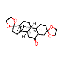 C[C@]12CCC3(CC1C(=O)C[C@@H]1[C@@H]2CC[C@@]2(C)[C@H]1CCC21OCCO1)OCCO3